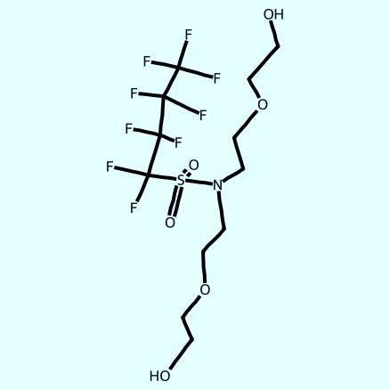 O=S(=O)(N(CCOCCO)CCOCCO)C(F)(F)C(F)(F)C(F)(F)C(F)(F)F